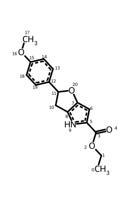 CCOC(=O)c1cc2c([nH]1)CC(c1ccc(OC)cc1)O2